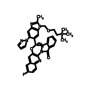 Cc1nc2cc(-n3cccn3)c(C(C)Oc3cc4cc(F)ccc4nc3N3C(=O)c4ccccc4C3=O)cc2n1COCCS(C)(C)C